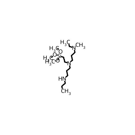 CCCNCCCN(CCCN(C)CC)CC[Si](OC)(OC)OC